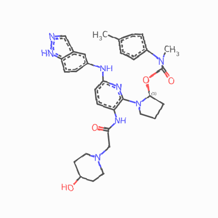 Cc1ccc(N(C)C(=O)O[C@H]2CCCN2c2nc(Nc3ccc4[nH]ncc4c3)ccc2NC(=O)CN2CCC(O)CC2)cc1